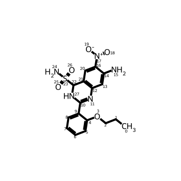 CCCOc1ccccc1C1=Nc2cc(N)c([N+](=O)[O-])cc2C(S(N)(=O)=O)N1